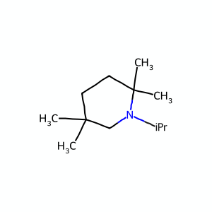 CC(C)N1CC(C)(C)CCC1(C)C